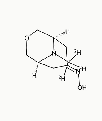 [2H]C([2H])([2H])N1[C@@H]2COC[C@H]1CC(=NO)C2